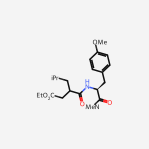 CCOC(=O)CC(CC(C)C)C(=O)N[C@@H](Cc1ccc(OC)cc1)C(=O)NC